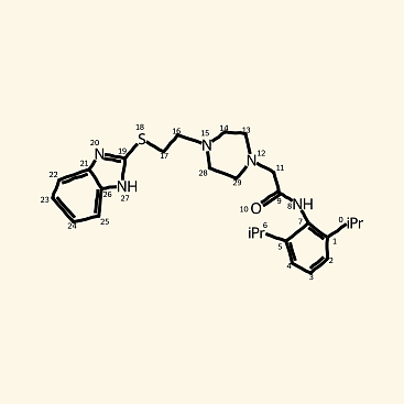 CC(C)c1cccc(C(C)C)c1NC(=O)CN1CCN(CCSc2nc3ccccc3[nH]2)CC1